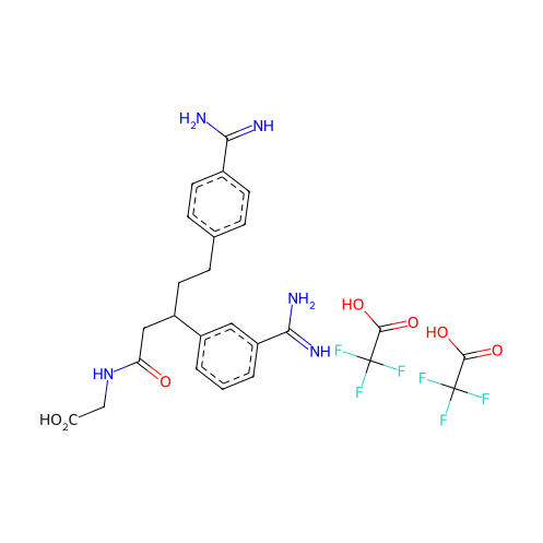 N=C(N)c1ccc(CCC(CC(=O)NCC(=O)O)c2cccc(C(=N)N)c2)cc1.O=C(O)C(F)(F)F.O=C(O)C(F)(F)F